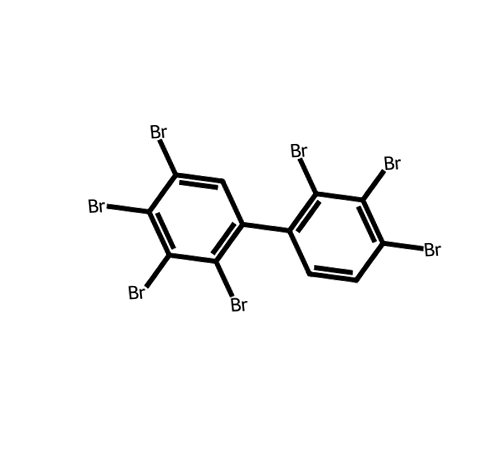 Brc1ccc(-c2cc(Br)c(Br)c(Br)c2Br)c(Br)c1Br